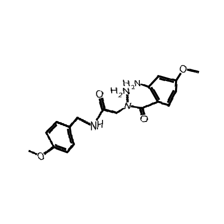 COc1ccc(CNC(=O)CN(N)C(=O)c2ccc(OC)cc2N)cc1